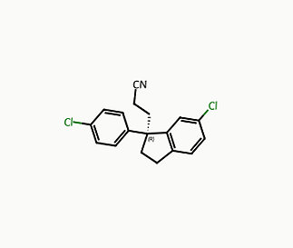 N#CCC[C@@]1(c2ccc(Cl)cc2)CCc2ccc(Cl)cc21